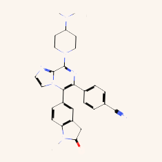 CN1C(=O)Cc2cc(-c3c(-c4ccc(C#N)cc4)nc(N4CCC(N(C)C)CC4)c4nccn34)ccc21